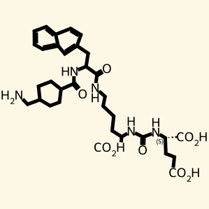 NCC1CCC(C(=O)NC(Cc2ccc3ccccc3c2)C(=O)NCCCCC(NC(=O)N[C@@H](CCC(=O)O)C(=O)O)C(=O)O)CC1